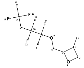 CC1COC1COC(F)(F)C(F)(F)CC(F)(F)F